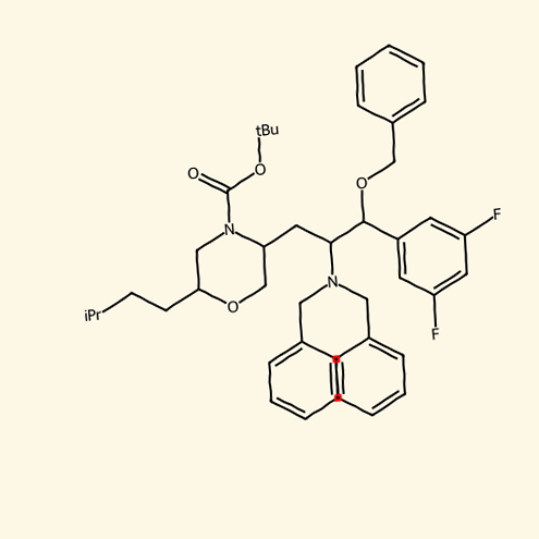 CC(C)CCC1CN(C(=O)OC(C)(C)C)C(CC(C(OCc2ccccc2)c2cc(F)cc(F)c2)N(Cc2ccccc2)Cc2ccccc2)CO1